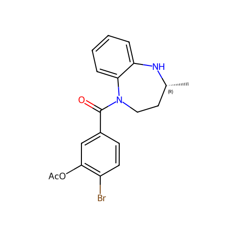 CC(=O)Oc1cc(C(=O)N2CC[C@@H](C)Nc3ccccc32)ccc1Br